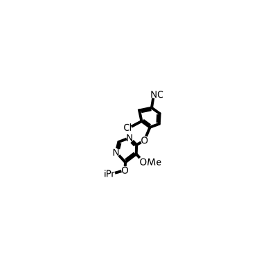 [C-]#[N+]c1ccc(Oc2ncnc(OC(C)C)c2OC)c(Cl)c1